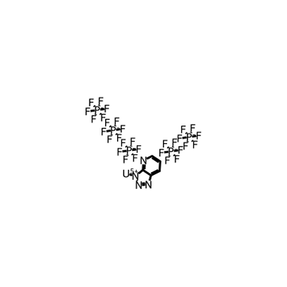 F[P-](F)(F)(F)(F)F.F[P-](F)(F)(F)(F)F.F[P-](F)(F)(F)(F)F.F[P-](F)(F)(F)(F)F.F[P-](F)(F)(F)(F)F.[U+5][n]1nnc2cccnc21